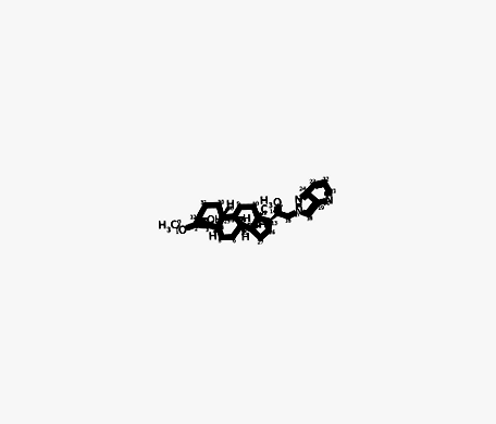 COC1C2[C@@H]3CC[C@@H]4[C@H](CC[C@]5(C)[C@@H](C(=O)Cn6cc7ncccc7n6)CC[C@@H]45)[C@H]3CC[C@]12O